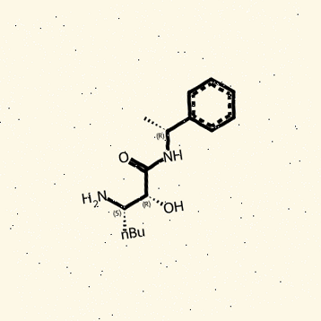 CCCC[C@H](N)[C@@H](O)C(=O)N[C@H](C)c1ccccc1